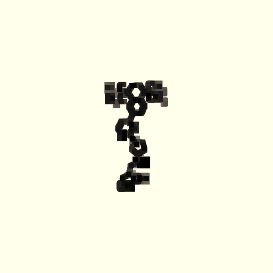 CC1(C)CCC(C)(C)c2cc(-c3ccnc(N4CC[C@@H](NC[C@H](O)CO)C4)n3)ccc21